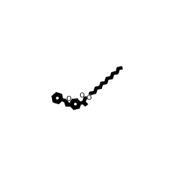 C=C(C(=O)OCCCCCCCCCCCC)c1ccc2cc(-c3ccccc3)oc2c1